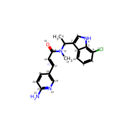 CC(c1c[nH]c2c(Cl)cccc12)N(C)C(=O)/C=C/c1ccc(N)nc1